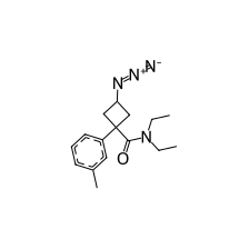 CCN(CC)C(=O)C1(c2cccc(C)c2)CC(N=[N+]=[N-])C1